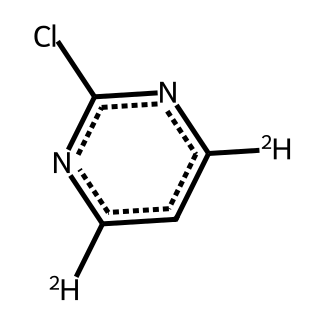 [2H]c1cc([2H])nc(Cl)n1